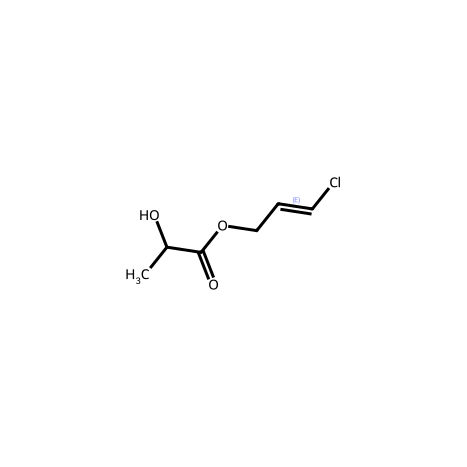 CC(O)C(=O)OC/C=C/Cl